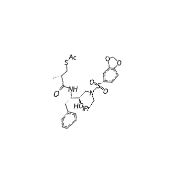 CC(=O)SC[C@@H](C)C(=O)N[C@@H](Cc1ccccc1)[C@H](O)CN(CC(C)C)S(=O)(=O)c1ccc2c(c1)OCO2